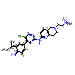 CCN(CC)CCN1CCc2nc(Nc3ncc(F)c(C4=C/C(=C(/NC)C(C)C)C(=N)C(F)=C4)n3)ccc2C1